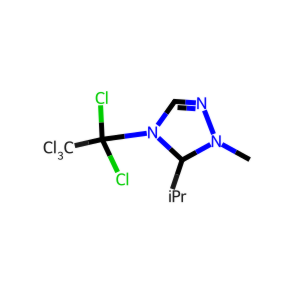 CC(C)C1N(C)N=CN1C(Cl)(Cl)C(Cl)(Cl)Cl